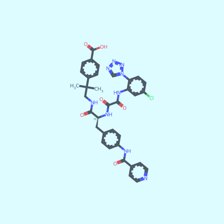 CC(C)(CNC(=O)[C@H](Cc1ccc(NC(=O)c2ccncc2)cc1)NC(=O)C(=O)Nc1cc(Cl)ccc1-n1cnnn1)c1ccc(C(=O)O)cc1